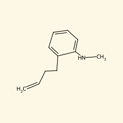 C=CCCc1ccccc1NC